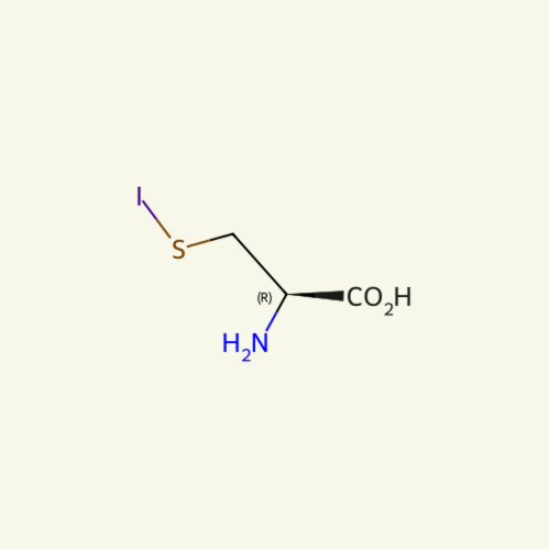 N[C@@H](CSI)C(=O)O